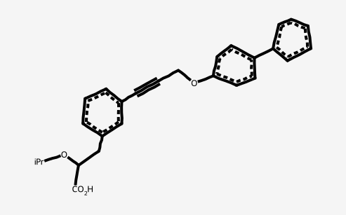 CC(C)OC(Cc1cccc(C#CCOc2ccc(-c3ccccc3)cc2)c1)C(=O)O